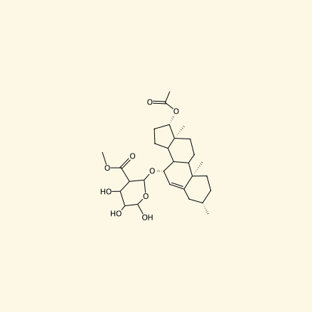 COC(=O)C1C(O[C@H]2C=C3C[C@@H](C)CC[C@]3(C)C3CC[C@@]4(C)C(CC[C@@H]4OC(C)=O)C32)OC(O)C(O)C1O